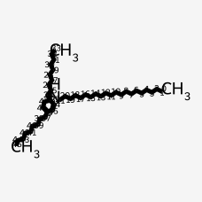 CCCCCCCCCCCCCCCCCCCCCCNC1(CCCCCCCCCC)C=CC(CCCCCCCCC)=CC1